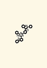 c1ccc(-c2nc3ccccc3c3c2oc2ccc(C4=NC(c5ccccc5)NC(c5cccc6c5sc5ccccc56)=N4)cc23)cc1